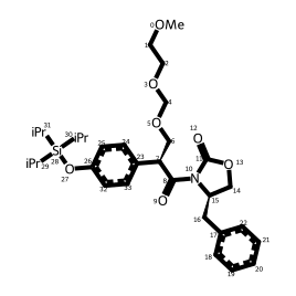 COCCOCOC[C@@H](C(=O)N1C(=O)OC[C@H]1Cc1ccccc1)c1ccc(O[Si](C(C)C)(C(C)C)C(C)C)cc1